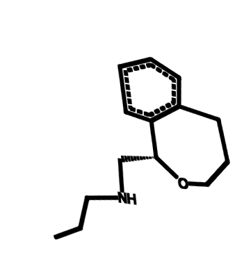 CCCNC[C@H]1OCCCc2ccccc21